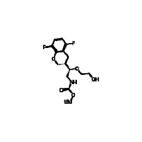 CC(C)(C)OC(=O)NC[C@H](OCCO)[C@@H]1COc2c(F)ccc(F)c2C1